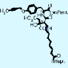 CC#CCOc1ccc(C[C@H](NC(=O)[C@@H](/C=C/CCCCCCC(=O)CCCCCCC)[C@@](O)(CC(=O)O)C(=O)O)C(=O)OCCCCC)cc1